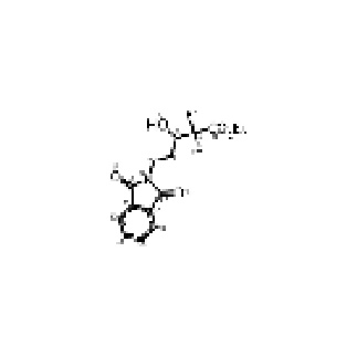 CCOC(=O)C(F)(F)C(O)CCN1C(=O)c2ccccc2C1=O